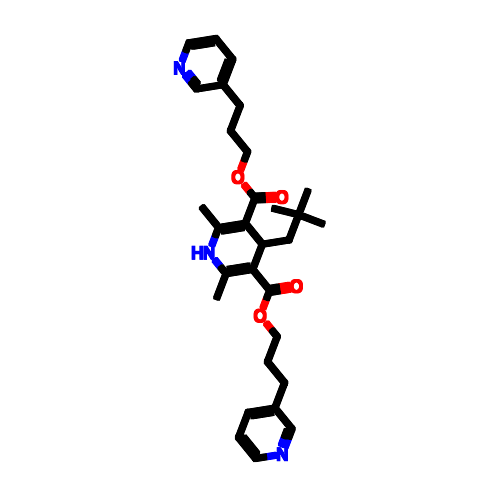 CC1=C(C(=O)OCCCc2cccnc2)C(CC(C)(C)C)C(C(=O)OCCCc2cccnc2)=C(C)N1